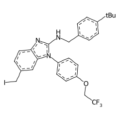 CC(C)(C)c1ccc(CNc2nc3ccc(CI)cc3n2-c2ccc(OCC(F)(F)F)cc2)cc1